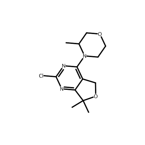 CC1COCCN1c1nc(Cl)nc2c1COC2(C)C